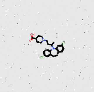 CC(CCN1CCC(C(=O)O)CC1)N1c2ccccc2CCc2ccc(Cl)cc21.Cl